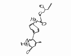 CCC(Cl)COC(=O)Nc1ccc(-c2n[nH]c(=O)cc2C)cc1